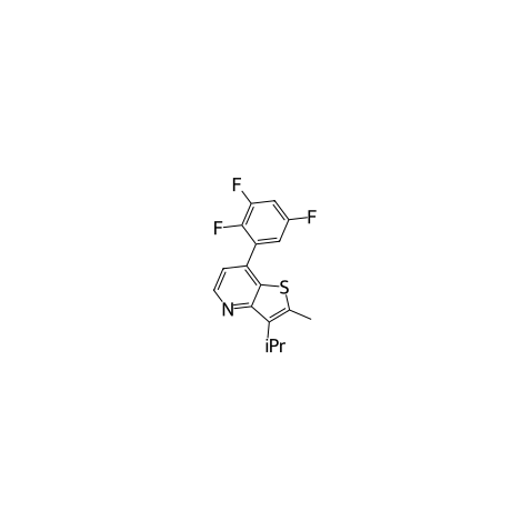 Cc1sc2c(-c3cc(F)cc(F)c3F)ccnc2c1C(C)C